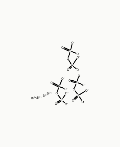 O=P([O-])([O-])OP(=O)([O-])[O-].O=P([O-])([O-])OP(=O)([O-])[O-].O=P([O-])([O-])OP(=O)([O-])[O-].[Bi+3].[Bi+3].[Bi+3].[Bi+3]